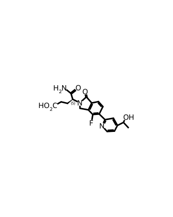 CC(O)c1ccnc(-c2ccc3c(c2F)CN([C@@H](CCC(=O)O)C(N)=O)C3=O)c1